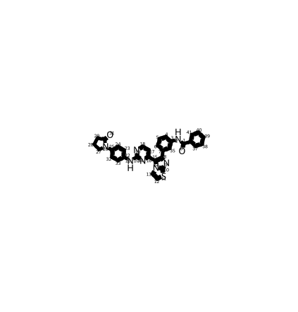 O=C(Nc1cccc(-c2nc3sccn3c2-c2ccnc(Nc3ccc(N4CCCC4=O)cc3)n2)c1)c1ccccc1